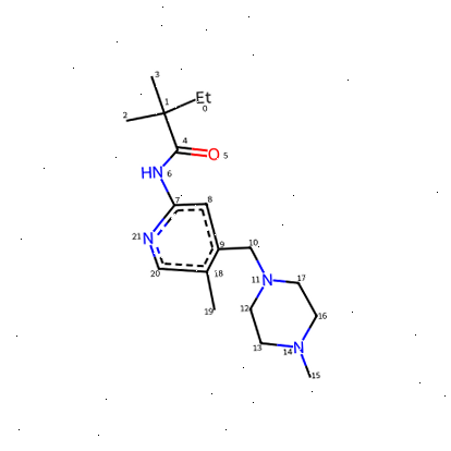 CCC(C)(C)C(=O)Nc1cc(CN2CCN(C)CC2)c(C)cn1